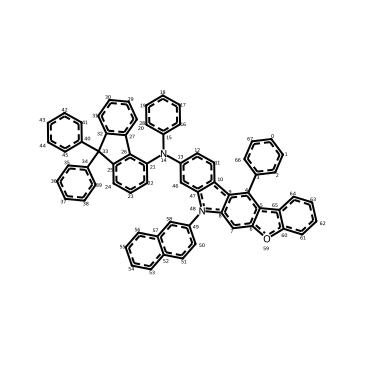 c1ccc(-c2c3c(cc4c2c2ccc(N(c5ccccc5)c5cccc6c5-c5ccccc5C6(c5ccccc5)c5ccccc5)cc2n4-c2ccc4ccccc4c2)oc2ccccc23)cc1